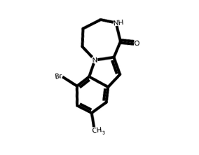 Cc1cc(Br)c2c(c1)cc1n2CCCNC1=O